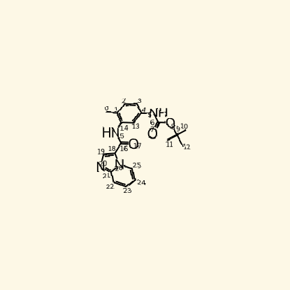 Cc1ccc(NC(=O)OC(C)(C)C)cc1NC(=O)c1cnc2ccccn12